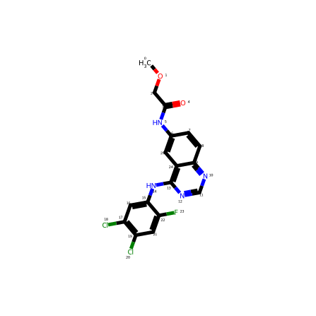 COCC(=O)Nc1ccc2ncnc(Nc3cc(Cl)c(Cl)cc3F)c2c1